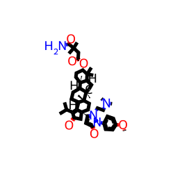 COc1ccc(-n2c(=O)cc([C@@]34CC[C@]5(C)[C@H](CC[C@@H]6[C@@]7(C)CC[C@H](OC(=O)CC(C)(C)C(N)=O)C(C)(C)[C@@H]7CC[C@]65C)C3=C(C(C)C)C(=O)C4)n2CCN(C)C)cc1